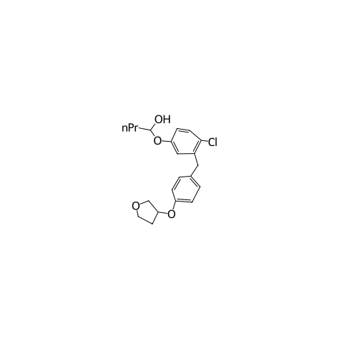 CCCC(O)Oc1ccc(Cl)c(Cc2ccc(OC3CCOC3)cc2)c1